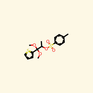 COC(OC)(c1cccs1)C(C)OS(=O)(=O)c1ccc(C)cc1